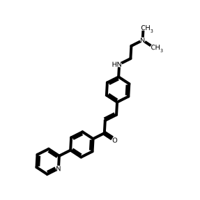 CN(C)CCNc1ccc(C=CC(=O)c2ccc(-c3ccccn3)cc2)cc1